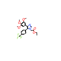 CCOC(=O)Cn1cnc(-c2cc(OC)c(OC)c(OC)c2)c1-c1ccc(C(F)(F)F)cc1